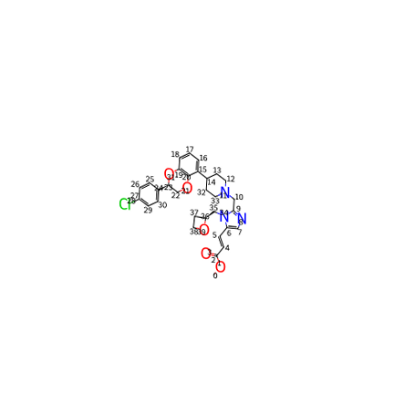 COC(=O)/C=C/c1cnc(CN2CCC(c3cccc4c3OC[C@@H](c3ccc(Cl)cc3)O4)CC2)n1C[C@@H]1CCO1